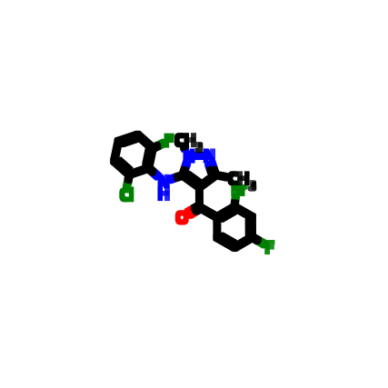 Cc1nn(C)c(Nc2c(F)cccc2Cl)c1C(=O)c1ccc(F)cc1Br